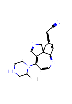 CC1CNCCN1C1=C2C=NCC23C/C(=C/C#N)C=CC3=NC=C1